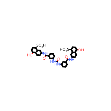 O=C(Nc1cccc(C(=O)Nc2ccc3c(O)ccc(S(=O)(=O)O)c3c2)c1)Nc1cccc(C(=O)Nc2ccc3c(O)ccc(S(=O)(=O)O)c3c2)c1